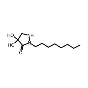 CCCCCCCCN1NCC(O)(O)C1=O